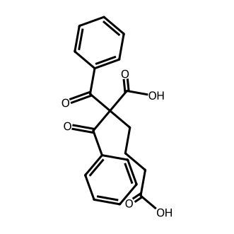 O=C(O)CCCC(C(=O)O)(C(=O)c1ccccc1)C(=O)c1ccccc1